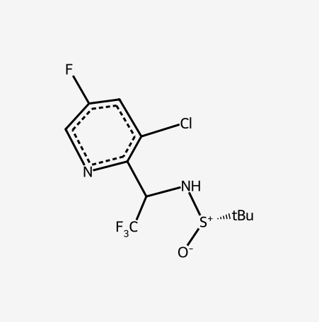 CC(C)(C)[S@+]([O-])NC(c1ncc(F)cc1Cl)C(F)(F)F